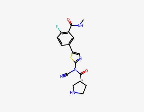 CNC(=O)c1cc(-c2cnc(N(C#N)C(=O)[C@H]3CCNC3)s2)ccc1F